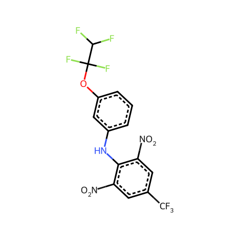 O=[N+]([O-])c1cc(C(F)(F)F)cc([N+](=O)[O-])c1Nc1cccc(OC(F)(F)C(F)F)c1